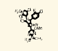 COc1nc(N(C)C)ncc1-c1cc2c(n1C(C)C)C(c1ccc(Cl)c(F)c1)N(c1cc(Cl)cn(C)c1=O)C2=O